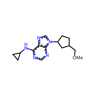 COCC1CCC(n2cnc3c(NC4CC4)ncnc32)C1